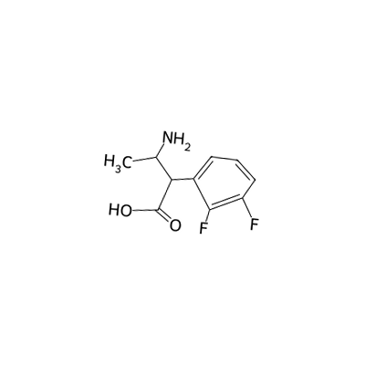 CC(N)C(C(=O)O)c1cccc(F)c1F